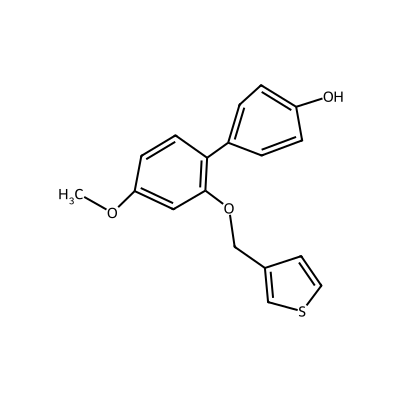 COc1ccc(-c2ccc(O)cc2)c(OCc2ccsc2)c1